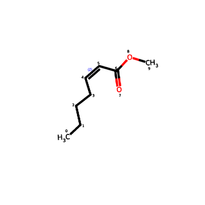 CCCC/C=C\C(=O)OC